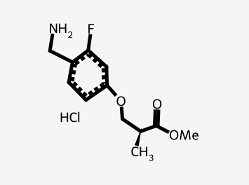 COC(=O)[C@@H](C)COc1ccc(CN)c(F)c1.Cl